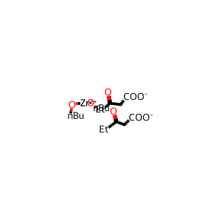 CCC(=O)CC(=O)[O-].CCC(=O)CC(=O)[O-].CCCC[O][Zr+2][O]CCCC